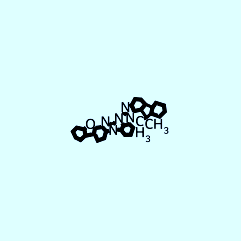 CC1(C)c2ccccc2-c2ccc3nc4n(c5cccc6c5n4c4nc5c7oc8ccccc8c7ccc5n64)c3c21